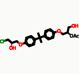 CC(=O)O[C@H](CO)COc1ccc(C(C)(C)c2ccc(OC[C@H](O)CCl)cc2)cc1